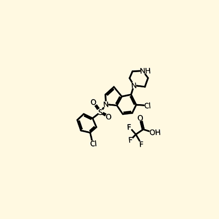 O=C(O)C(F)(F)F.O=S(=O)(c1cccc(Cl)c1)n1ccc2c(N3CCNCC3)c(Cl)ccc21